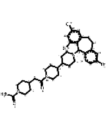 NC(=O)N1CCC(CC(=O)N2CCC(C3CCN(C4c5ncc(Br)cc5CCc5cc(Cl)cc(Br)c54)CC3)CC2)CC1